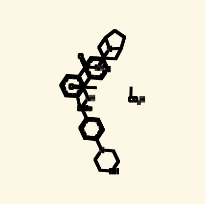 CC(=O)O.COc1cccc(C(=O)NC2CC3CCC(C2)N3c2ccc(C(=O)NCc3ccc(N4CCNCC4)cc3)cn2)c1C